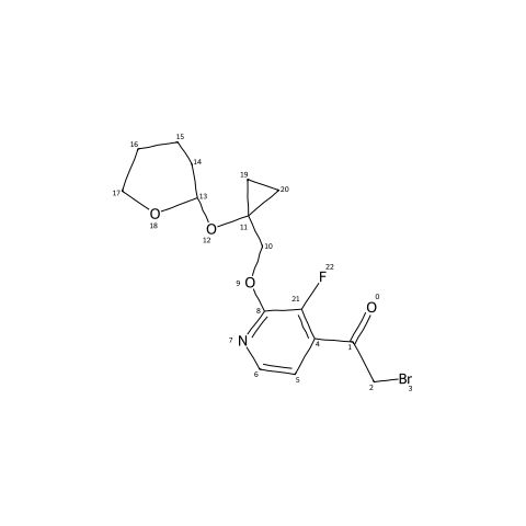 O=C(CBr)c1ccnc(OCC2(OC3CCCCO3)CC2)c1F